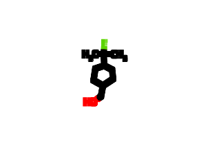 CC(C)(F)C1CCC(CO)CC1